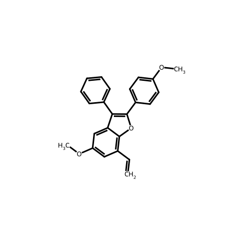 C=Cc1cc(OC)cc2c(-c3ccccc3)c(-c3ccc(OC)cc3)oc12